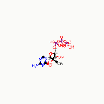 C#CC1(O)[C@@H](O)[C@@H](COP(=O)(O)OP(=O)(O)OP(=O)(O)O)O[C@H]1n1cnc(N)nc1=O